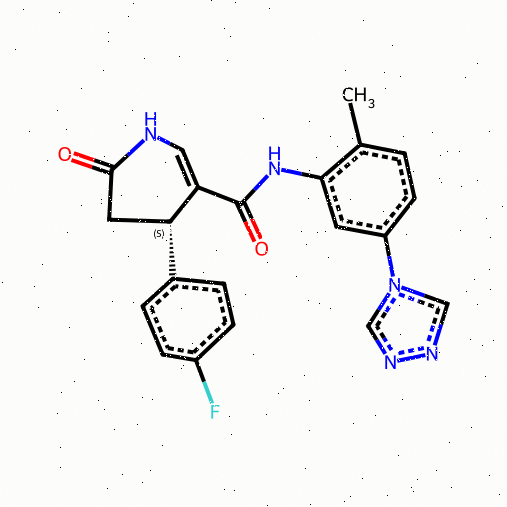 Cc1ccc(-n2cnnc2)cc1NC(=O)C1=CNC(=O)C[C@H]1c1ccc(F)cc1